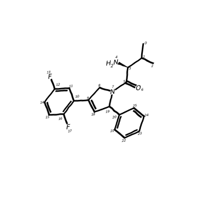 CC(C)[C@H](N)C(=O)N1CC(c2cc(F)ccc2F)=CC1c1ccccc1